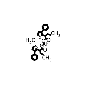 CCCC(C(=O)[O][Al][O]C(=O)C(CCC)c1sccc1-c1ccccc1)c1sccc1-c1ccccc1.O